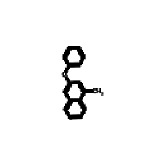 Cc1cc(Oc2ccccc2)cc2ccccc12